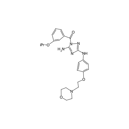 CC(C)Oc1cccc(C(=O)n2nc(Nc3ccc(OCCN4CCOCC4)cc3)nc2N)c1